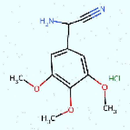 COc1cc(C(N)C#N)cc(OC)c1OC.Cl